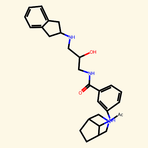 CC(=O)N1CC2CCC(C1)C2Nc1cccc(C(=O)NCC(O)CNC2Cc3ccccc3C2)c1